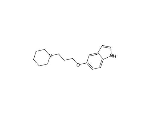 c1cc2cc(OCCCN3CCCCC3)ccc2[nH]1